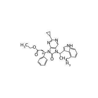 CCOC(=O)C[C@H](c1ccccc1)n1c(=O)n(C(C)c2c[nH]c3cccc(C)c23)c2cnc(C3CC3)nc21